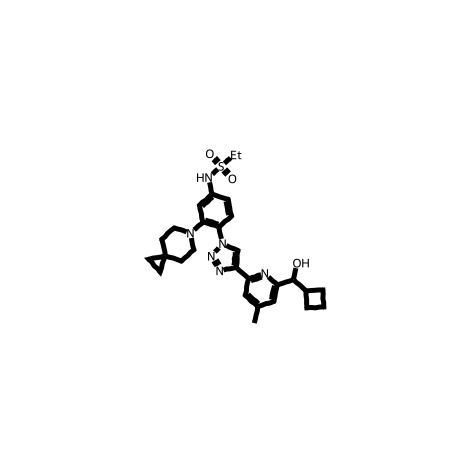 CCS(=O)(=O)Nc1ccc(-n2cc(-c3cc(C)cc(C(O)C4CCC4)n3)nn2)c(N2CCC3(CC2)CC3)c1